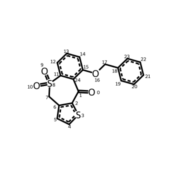 O=C1c2sccc2CS(=O)(=O)c2cccc(OCc3ccccc3)c21